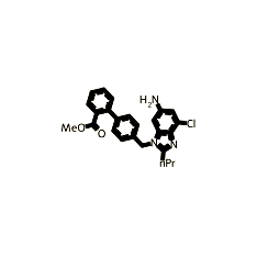 CCCc1nc2c(Cl)cc(N)cc2n1Cc1ccc(-c2ccccc2C(=O)OC)cc1